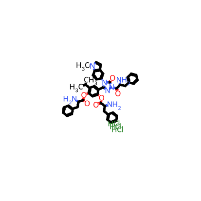 CC(C)c1cc(-c2nn(C(=O)C(N)Cc3ccccc3)c(=O)n2-c2ccc3c(ccn3C)c2)c(OC(=O)C(N)Cc2ccccc2)cc1OC(=O)C(N)Cc1ccccc1.Cl.Cl.Cl